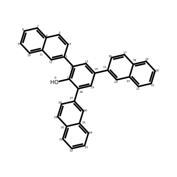 Oc1c(-c2ccc3ccccc3c2)cc(-c2ccc3ccccc3c2)cc1-c1ccc2ccccc2c1